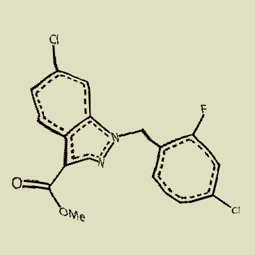 COC(=O)c1nn(Cc2ccc(Cl)cc2F)c2cc(Cl)ccc12